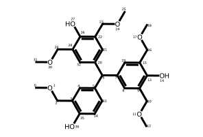 COCc1cc(C(c2cc(COC)c(O)c(COC)c2)c2cc(COC)c(O)c(COC)c2)ccc1O